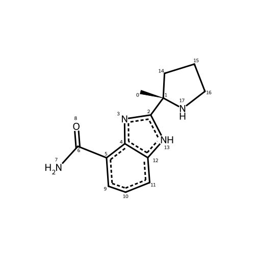 C[C@@]1(c2nc3c(C(N)=O)cccc3[nH]2)CCCN1